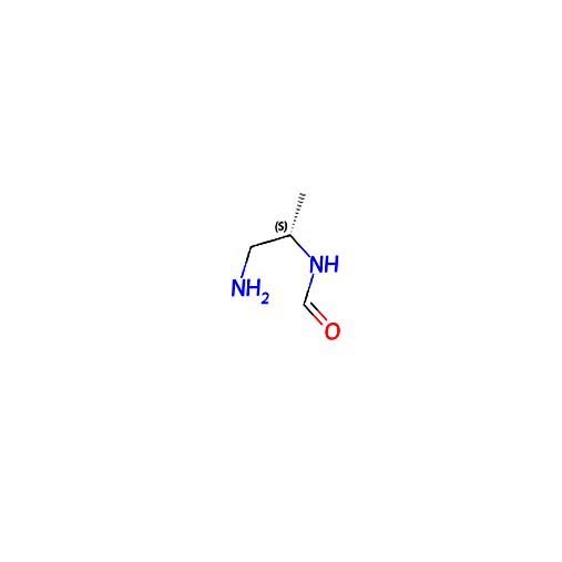 C[C@@H](CN)NC=O